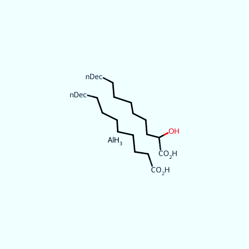 CCCCCCCCCCCCCCCCC(O)C(=O)O.CCCCCCCCCCCCCCCCCC(=O)O.[AlH3]